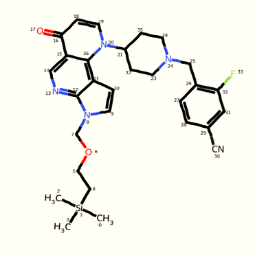 C[Si](C)(C)CCOCn1ccc2c1ncc1c(=O)ccn(C3CCN(Cc4ccc(C#N)cc4F)CC3)c12